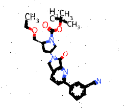 CCOC[C@@H]1C[C@@H](N2Cc3ccc(-c4cccc(C#N)c4)nc3C2=O)CN1C(=O)OC(C)(C)C